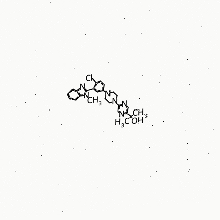 Cn1c(-c2cc(N3CCN(c4cnc(C(C)(C)O)cn4)CC3)ccc2Cl)nc2ccccc21